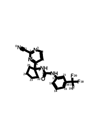 N#Cc1nccc(C2(NC(=O)Nc3cccc(C(F)(F)F)c3)CCCC2)n1